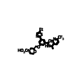 CCc1cnc(-c2cc(OC[C@@H]3CN(C(=O)O)CCO3)cc(C(=O)NC(C)c3ccc(C(F)(F)F)nn3)c2)s1